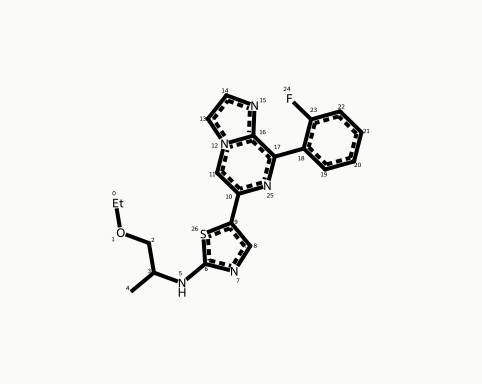 CCOCC(C)Nc1ncc(-c2cn3ccnc3c(-c3ccccc3F)n2)s1